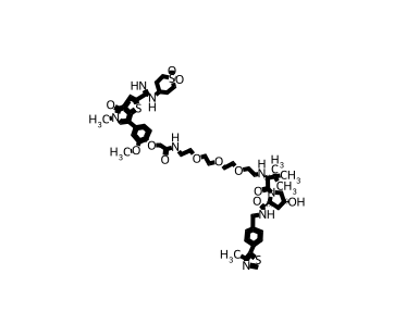 COc1cc(-c2cn(C)c(=O)c3cc(C(=N)NC4CCS(=O)(=O)CC4)sc23)ccc1OCC(=O)NCCOCCOCCOCCN[C@H](C(=O)N1C[C@H](O)C[C@H]1C(=O)NCc1ccc(-c2scnc2C)cc1)C(C)(C)C